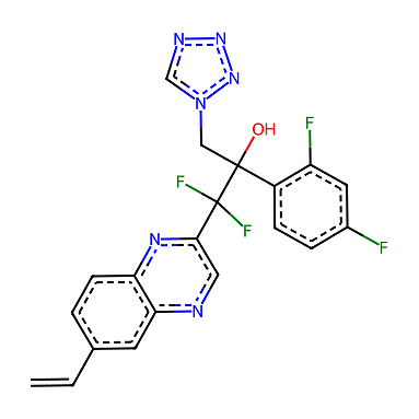 C=Cc1ccc2nc(C(F)(F)C(O)(Cn3cnnn3)c3ccc(F)cc3F)cnc2c1